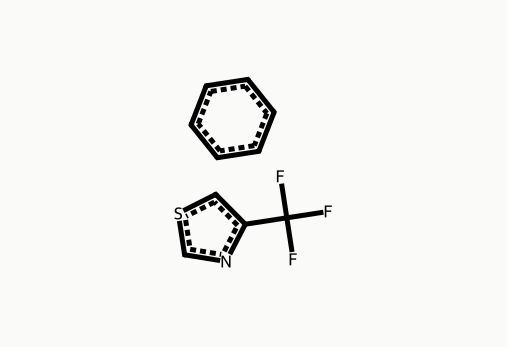 FC(F)(F)c1cscn1.c1ccccc1